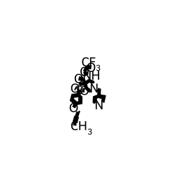 CC#CCOc1ccc(S(=O)(=O)CC2(C(=O)NOC(=O)C(F)(F)F)CCN(Cc3ccncc3)CC2)cc1